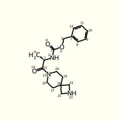 C[C@@H](NC(=O)OCc1ccccc1)C(=O)N1CCC2(CC1)CNC2